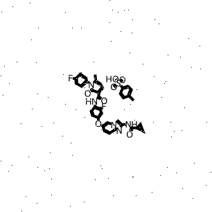 Cc1ccc(C(=O)Nc2ccc(Oc3ccc4nc(NC(=O)C5CC5)cn4c3)cc2F)c(=O)n1-c1ccc(F)cc1.Cc1ccc(S(=O)(=O)O)cc1